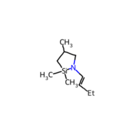 CCC=CN1CC(C)C[Si]1(C)C